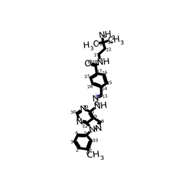 Cc1cccc(-n2ncc3c(N/N=C/c4ccc(C(=O)NCCC(C)(C)N)cc4)ncnc32)c1